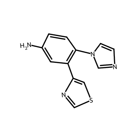 Nc1ccc(-n2ccnc2)c(-c2cscn2)c1